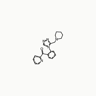 O=C(c1ccccn1)c1ccccc1-n1cnnc1CN1CCCCC1